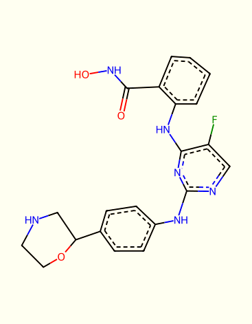 O=C(NO)c1ccccc1Nc1nc(Nc2ccc(C3CNCCO3)cc2)ncc1F